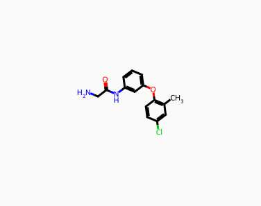 Cc1cc(Cl)ccc1Oc1cccc(NC(=O)CN)c1